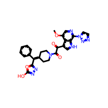 COc1cnc(-n2ccnn2)c2[nH]cc(C(=O)C(=O)N3CCC(=C(c4ccccc4)c4nnc(O)o4)CC3)c12